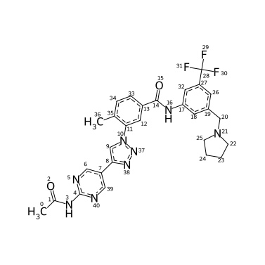 CC(=O)Nc1ncc(-c2cn(-c3cc(C(=O)Nc4cc(CN5CCCC5)cc(C(F)(F)F)c4)ccc3C)nn2)cn1